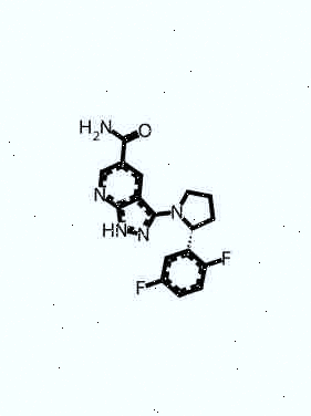 NC(=O)c1cnc2[nH]nc(N3CCC[C@@H]3c3cc(F)ccc3F)c2c1